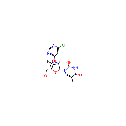 CC1=CN([C@@H]2O[C@@]3(CO)CN(c4cc(Cl)ncn4)[C@@H]2[C@@H]3O)C(O)NC1=O